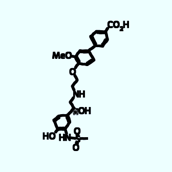 COc1cc(-c2ccc(C(=O)O)cc2)ccc1OCCNC[C@H](O)c1ccc(O)c(NS(C)(=O)=O)c1